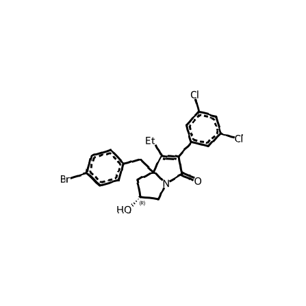 CCC1=C(c2cc(Cl)cc(Cl)c2)C(=O)N2C[C@H](O)CC12Cc1ccc(Br)cc1